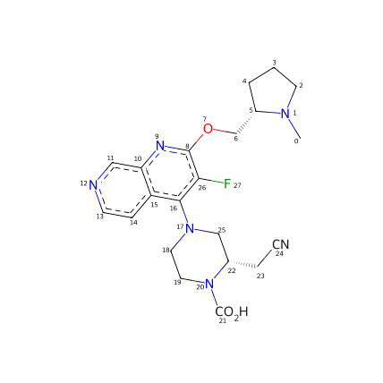 CN1CCC[C@H]1COc1nc2cnccc2c(N2CCN(C(=O)O)[C@@H](CC#N)C2)c1F